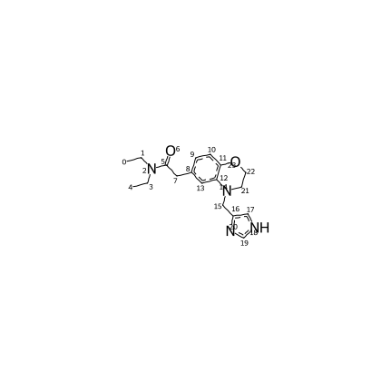 CCN(CC)C(=O)Cc1ccc2c(c1)N(Cc1c[nH]cn1)CCO2